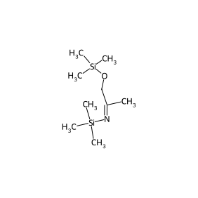 C/C(CO[Si](C)(C)C)=N/[Si](C)(C)C